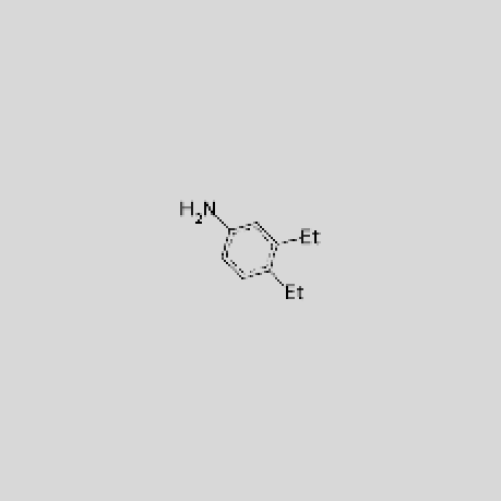 CCc1ccc(N)cc1CC